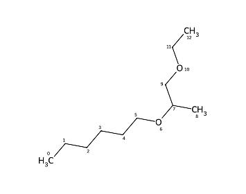 CCCCCCOC(C)COCC